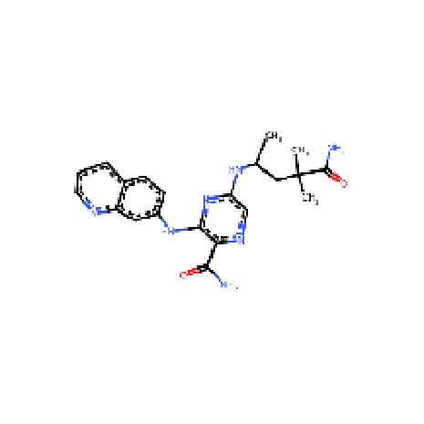 CC(CC(C)(C)C(N)=O)Nc1cnc(C(N)=O)c(Nc2ccc3cccnc3c2)n1